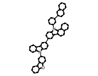 c1cc(-c2ccc3ccccc3c2)cc(-n2c3ccc(-c4ccc5c(c4)c4ccccc4n5-c4ccc5oc6ccccc6c5c4)cc3c3ccc4ccccc4c32)c1